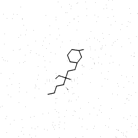 BCC(B)(CC[C@@]1(B)CCC[C@@](C)(O)C1)[C@@H](C)CCC